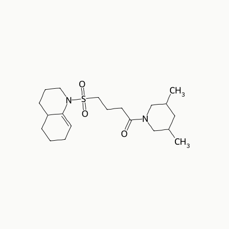 CC1CC(C)CN(C(=O)CCCS(=O)(=O)N2CCCC3CCCC=C32)C1